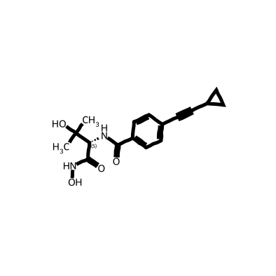 CC(C)(O)[C@H](NC(=O)c1ccc(C#CC2CC2)cc1)C(=O)NO